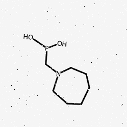 OP(O)CN1CCCCCC1